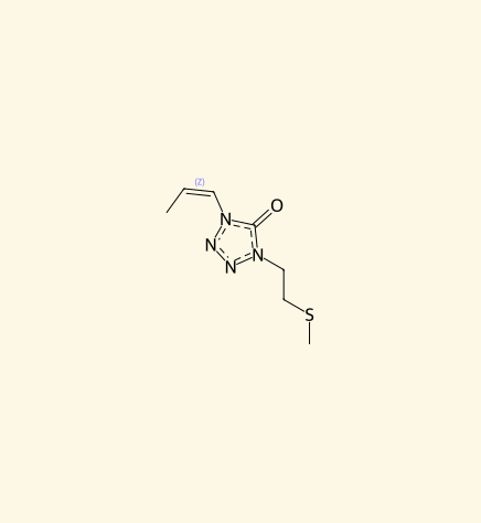 C/C=C\n1nnn(CCSC)c1=O